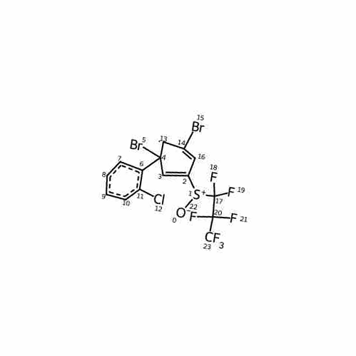 [O-][S+](C1=CC(Br)(c2ccccc2Cl)[CH]C(Br)=C1)C(F)(F)C(F)(F)C(F)(F)F